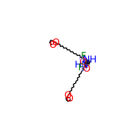 O=C(N[C@@H]1CC[C@H]1NC(=O)/C(F)=C/CCCCCCCCCCCCCCOC1CCCCO1)/C(F)=C/CCCCCCCCCCCCCCOC1CCCCO1